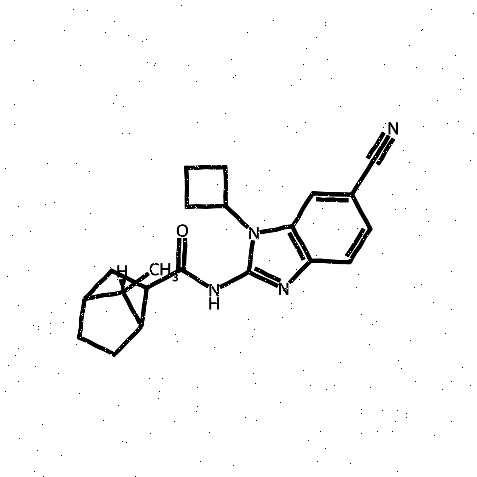 C[C@H]1C2CCC1C(C(=O)Nc1nc3ccc(C#N)cc3n1C1CCC1)C2